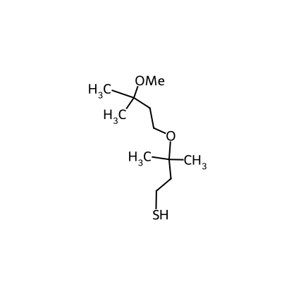 COC(C)(C)CCOC(C)(C)CCS